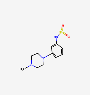 CN1CCN(c2cccc(N[SH](=O)=O)c2)CC1